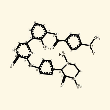 CCN(C)c1ccc(C(=O)Nc2cccc(-c3c[nH]c(=O)c(Nc4ccc(C5C(=O)N(C)CCN5C)cc4)n3)c2C)cc1